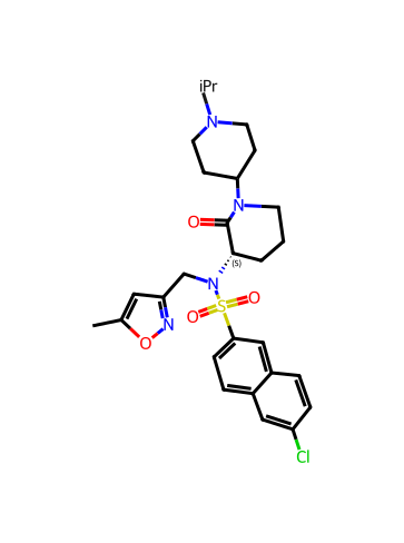 Cc1cc(CN([C@H]2CCCN(C3CCN(C(C)C)CC3)C2=O)S(=O)(=O)c2ccc3cc(Cl)ccc3c2)no1